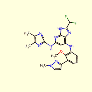 COc1c(Nc2cc(Nc3cnc(C)c(C)n3)nc3[nH]c(C(F)F)nc23)cccc1-c1ccn(C)n1